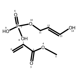 C=CC(=O)OC.O=P(O)(O)OCC=CO